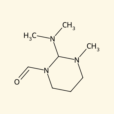 CN(C)C1N(C)CCCN1C=O